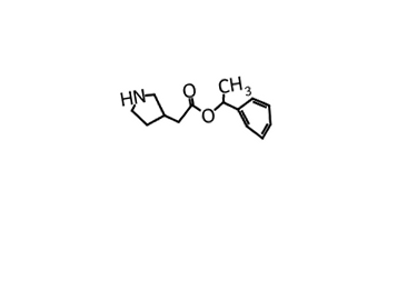 CC(OC(=O)CC1CCNC1)c1ccccc1